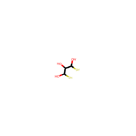 OC(S)C(O)C(O)S